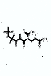 CC(C(=O)N(C[C@H](C)C(N)=O)C(=O)O)C(C)C(C)(C)CC(C)(C)C